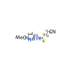 COc1ccc(CNC(=S)SCCC#N)cn1